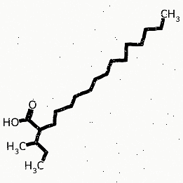 CCCCCCCCCCCCCCC(C(=O)O)C(C)CC